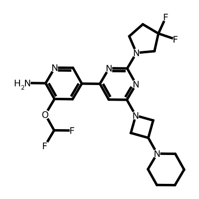 Nc1ncc(-c2cc(N3CC(N4CCCCC4)C3)nc(N3CCC(F)(F)C3)n2)cc1OC(F)F